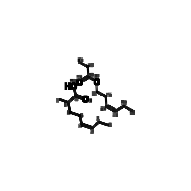 CC/C=C\CCC(C)C(=O)O.CC/C=C\CCOC(=O)CC